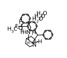 COc1ccccc1CN[C@@H]1C2CCN(CC2)[C@H]1C(c1ccccc1)c1cccc(C(F)(F)F)c1.O.O.O